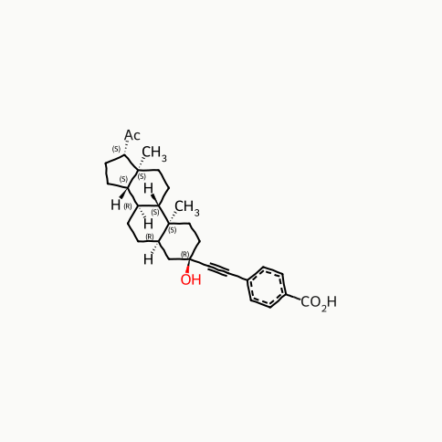 CC(=O)[C@H]1CC[C@H]2[C@@H]3CC[C@@H]4C[C@@](O)(C#Cc5ccc(C(=O)O)cc5)CC[C@]4(C)[C@H]3CC[C@]12C